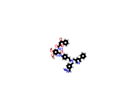 COc1cc(NC(=O)c2cc(=O)c3ccccc3o2)c(C(=O)Nc2ccc(CCN(Cc3cncc(-c4ccccc4)c3)Cc3ccc4c(cnn4C)c3)cc2)cc1OC